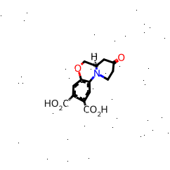 O=C1CCN2c3cc(C(=O)O)c(C(=O)O)cc3OC[C@H]2C1